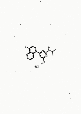 COc1cc(-c2ccc(F)c3ccccc23)nc(NC(C)C)n1.Cl